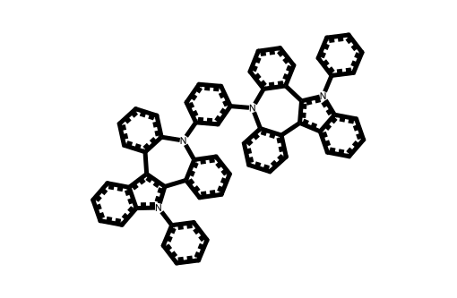 c1ccc(-n2c3c(c4ccccc42)-c2ccccc2N(c2cccc(N4c5ccccc5-c5c(n(-c6ccccc6)c6ccccc56)-c5ccccc54)c2)c2ccccc2-3)cc1